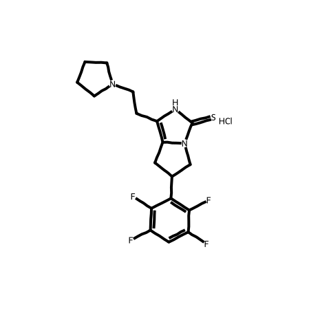 Cl.Fc1cc(F)c(F)c(C2Cc3c(CCN4CCCC4)[nH]c(=S)n3C2)c1F